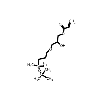 C=CC(=O)OCC(O)COCCC[Si](C)(C)O[Si](C)(C)C